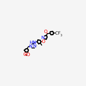 Cc1cc(NC2CN(Cc3ccc4c(c3)OCO4)CC[N]2)ccc1Oc1ccc(C(=O)c2ccc(C(F)(F)F)cc2)cn1